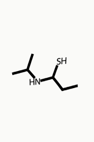 CCC(S)NC(C)C